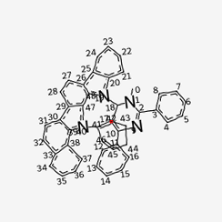 CN1C(c2ccccc2)=NC(c2ccccc2)=CC1n1c2ccccc2c2ccc3c4ccc5ccccc5c4n(C4=CCCC=C4)c3c21